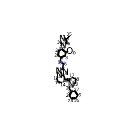 COc1cc(/C=C/c2nc3n(n2)CCC[C@H]3[C@H]2CCCN2Cc2ccccc2)ccc1-n1cnc(C)c1